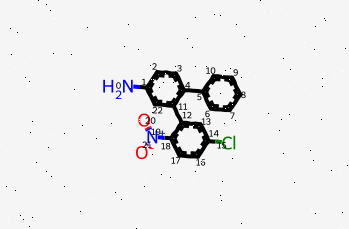 Nc1ccc(-c2ccccc2)c(-c2cc(Cl)ccc2[N+](=O)[O-])c1